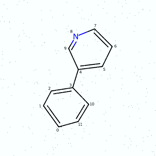 [c]1ccc(-c2cc[c]nc2)cc1